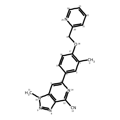 Cc1cc(-c2cc3c(nnn3C)c(C#N)n2)ccc1OCc1ccccn1